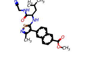 COC(=O)c1ccc2cc(-c3c(C)nsc3NC(CC(C)C)C(=O)NCC#N)ccc2c1